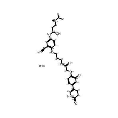 CC(C)NCCC(O)Oc1ccc(OCCCNC(=O)COc2ccc(C3=NNC(=O)CC3)cc2Cl)c(C#N)c1.Cl